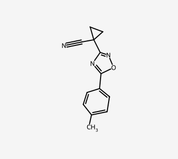 Cc1ccc(-c2nc(C3(C#N)CC3)no2)cc1